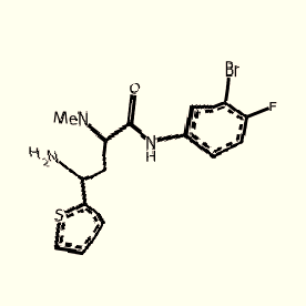 CNC(CC(N)c1cccs1)C(=O)Nc1ccc(F)c(Br)c1